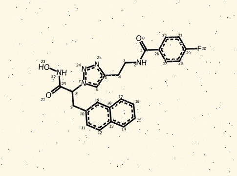 O=C(NCCc1cn(C(Cc2ccc3ccccc3c2)C(=O)NO)nn1)c1ccc(F)cc1